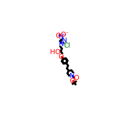 CC(C)(C)OC(=O)N1CCC(CCc2ccc(OCC(O)CCn3cc([N+](=O)[O-])nc3Cl)cc2)CC1